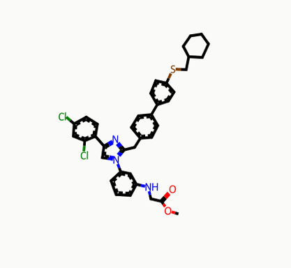 COC(=O)CNc1cccc(-n2cc(-c3ccc(Cl)cc3Cl)nc2Cc2ccc(-c3ccc(SCC4CCCCC4)cc3)cc2)c1